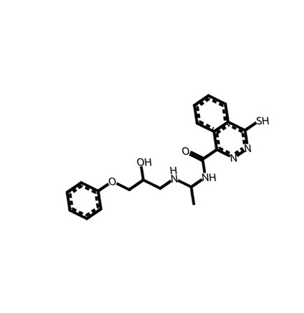 CC(NCC(O)COc1ccccc1)NC(=O)c1nnc(S)c2ccccc12